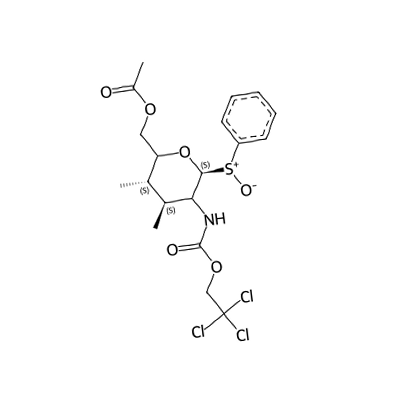 CC(=O)OCC1O[C@@H]([S+]([O-])c2ccccc2)C(NC(=O)OCC(Cl)(Cl)Cl)[C@@H](C)[C@@H]1C